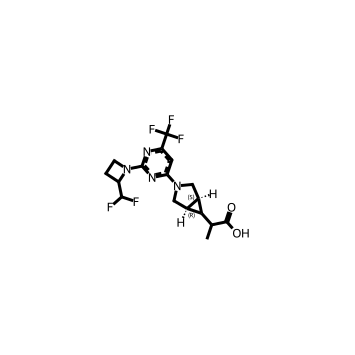 CC(C(=O)O)C1[C@H]2CN(c3cc(C(F)(F)F)nc(N4CCC4C(F)F)n3)C[C@@H]12